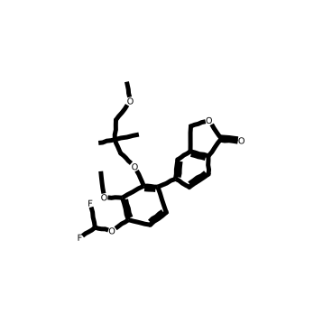 COCC(C)(C)COc1c(-c2ccc3c(c2)COC3=O)ccc(OC(F)F)c1OC